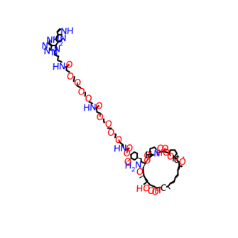 CO[C@H]1C[C@@H]2CCC[C@@](O)(O2)C(=O)C(=O)N2CCCC[C@H]2C(=O)O[C@H]([C@H](N)C[C@@H]2CC[C@@H](OC(=O)NCCOCCOCCOCCOCCC(=O)NCCOCCOCCOCCOCCC(=O)NCCCCn3nc(-c4cnc5[nH]ccc5c4)c4c(N)ncnc43)[C@H](OC)C2)CC(=O)[C@H](C)/C=C(\C)[C@@H](O)[C@@H](O)C(=O)[C@H](C)C[C@H](C)/C=C/C=C/C=C/1C